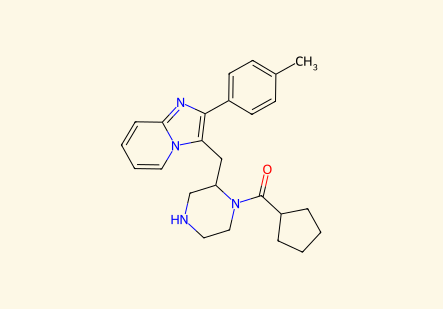 Cc1ccc(-c2nc3ccccn3c2CC2CNCCN2C(=O)C2CCCC2)cc1